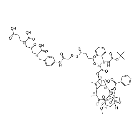 CO[C@H]1C[C@H]2OC[C@@]2(OC(C)=O)[C@H]2[C@H](OC(=O)c3ccccc3)[C@]3(O)C[C@H](OC(=O)[C@H](OC(=O)CCC(=O)SSCC(=O)Nc4ccc(C[C@H](CC(=O)C[C@@H](CCC(=O)O)C(=O)O)C(=O)O)cc4)[C@@H](NC(=O)OC(C)(C)C)c4ccccc4)C(C)=C([C@@H](C)C(=O)[C@]12C)C3(C)C